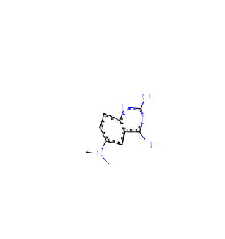 CN(C)c1ccc2nc(N)nc(N)c2c1